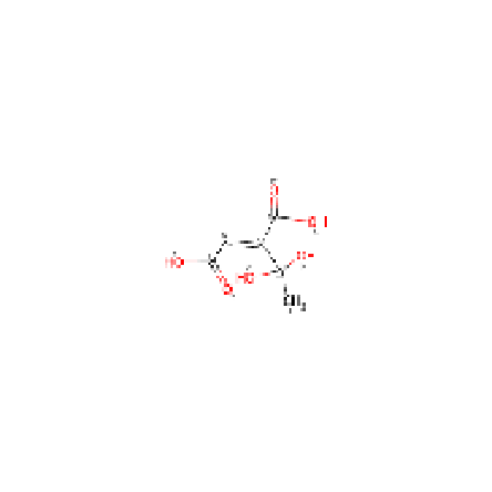 CC(O)(O)/C(=C\C(=O)O)C(=O)O